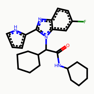 O=C(NC1CCCCC1)C(C1CCCCC1)n1c(-c2ccc[nH]2)nc2ccc(F)cc21